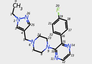 CCn1cc(CN2CCN(c3nccnc3-c3ccc(F)cc3)CC2)cn1